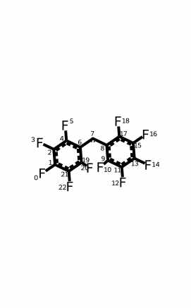 Fc1c(F)c(F)c([C]c2c(F)c(F)c(F)c(F)c2F)c(F)c1F